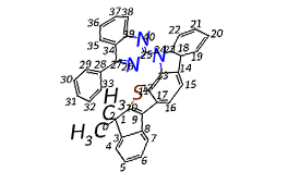 CC1(C)c2ccccc2-c2c1sc1c3c(ccc21)C1C=CC=CC1N3c1nc(-c2ccccc2)c2ccccc2n1